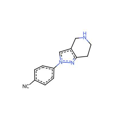 N#Cc1ccc(-n2cc3c(n2)CCNC3)cc1